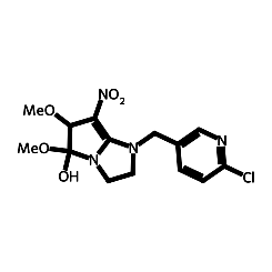 COC1C([N+](=O)[O-])=C2N(Cc3ccc(Cl)nc3)CCN2C1(O)OC